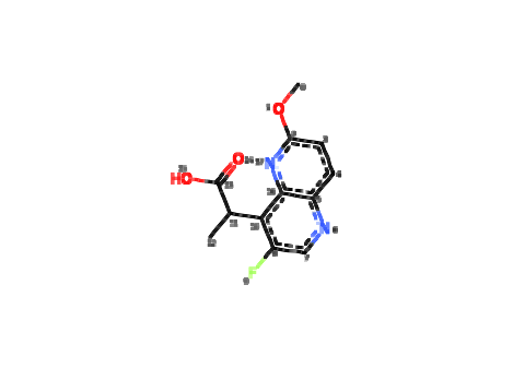 COc1ccc2ncc(F)c(C(C)C(=O)O)c2n1